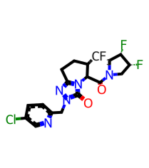 O=C(C1C(C(F)(F)F)CCc2nn(Cc3ccc(Cl)cn3)c(=O)n21)N1C[C@@H](F)[C@@H](F)C1